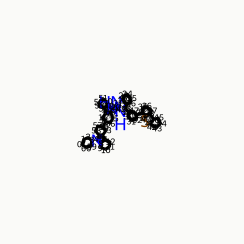 C1=CCC(n2c3c(c4c2=CCCC=4)C=C(C2=Cc4c(n(C5Nc6ccccc6C(c6cccc(-c7cccc8c7SC7C=CC=CC87)c6)N5)c5ccccc45)CC2)CC3)C=C1